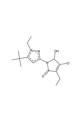 CCC1=C(Cl)C(O)N(c2cc(C(C)(C)C)n(CC)n2)C1=O